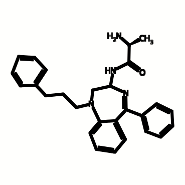 C[C@H](N)C(=O)NC1CN(CCCc2ccccc2)c2ccccc2C(c2ccccc2)=N1